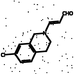 O=CC=CN1CCc2ccc(Cl)cc2C1